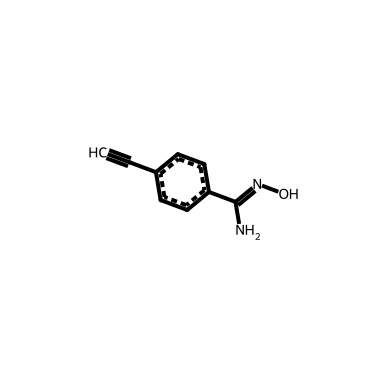 C#Cc1ccc(/C(N)=N/O)cc1